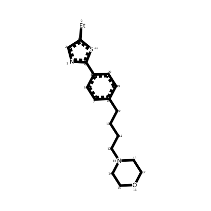 CCc1cnc(-c2ccc(CCCCN3CCOCC3)cc2)s1